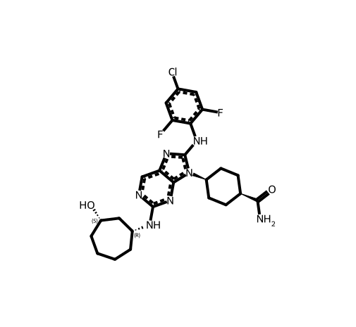 NC(=O)[C@H]1CC[C@@H](n2c(Nc3c(F)cc(Cl)cc3F)nc3cnc(N[C@@H]4CCCC[C@H](O)C4)nc32)CC1